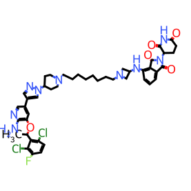 CC(Oc1cc(-c2cnn(C3CCN(CCCCCCCCN4CC(Nc5cccc6c5C(=O)N(C5CCC(=O)NC5=O)C6=O)C4)CC3)c2)cnc1N)c1c(Cl)ccc(F)c1Cl